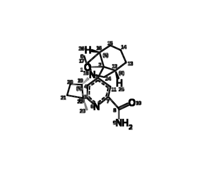 COC1(c2ccnc(C(N)=O)c2)[C@@H]2CCC[C@H]1CN([C@H]1CC[C@H]1C)C2